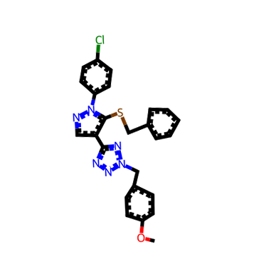 COc1ccc(Cn2nnc(-c3cnn(-c4ccc(Cl)cc4)c3SCc3ccccc3)n2)cc1